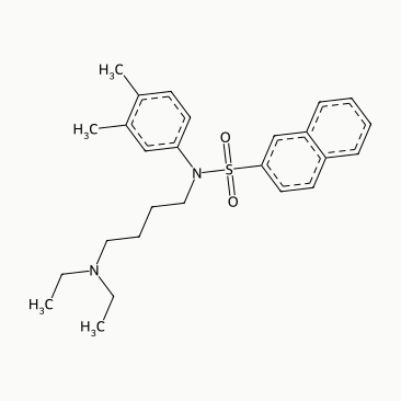 CCN(CC)CCCCN(c1ccc(C)c(C)c1)S(=O)(=O)c1ccc2ccccc2c1